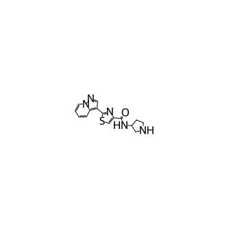 O=C(NC1CCNC1)c1csc(-c2cnn3ccccc23)n1